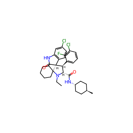 CCN1[C@@H](C(=O)N[C@H]2CC[C@H](C)CC2)[C@H](c2cccc(Cl)c2F)[C@]2(C(=O)Nc3cc(Cl)ccc32)C12CCCCC2